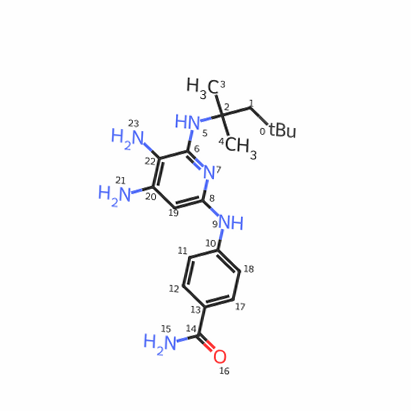 CC(C)(C)CC(C)(C)Nc1nc(Nc2ccc(C(N)=O)cc2)cc(N)c1N